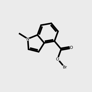 Cn1ccc2c(C(=O)OBr)cccc21